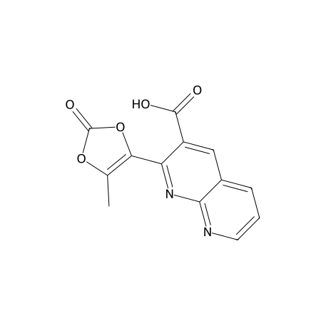 Cc1oc(=O)oc1-c1nc2ncccc2cc1C(=O)O